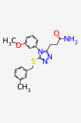 COc1cccc(-n2c(CCC(N)=O)nnc2SCc2cccc(C)c2)c1